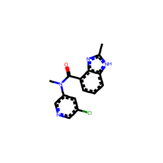 Cc1nc2c(C(=O)N(C)c3cncc(Cl)c3)cccc2[nH]1